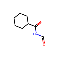 O=[C]NC(=O)C1CCCCC1